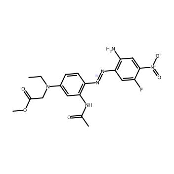 CCN(CC(=O)OC)c1ccc(/N=N/c2cc(F)c([N+](=O)[O-])cc2N)c(NC(C)=O)c1